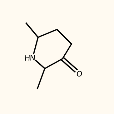 CC1CCC(=O)C(C)N1